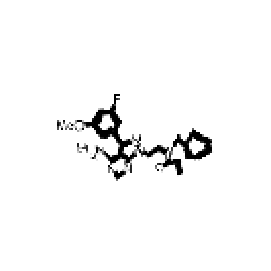 C=CC(=O)N(CCn1nc(-c2cc(F)cc(OC)c2)c2c(N)ncnc21)Cc1ccccc1